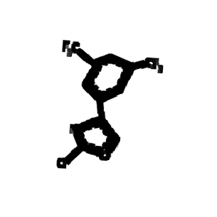 FC(F)(F)c1cc(-c2coc(Cl)n2)cc(C(F)(F)F)c1